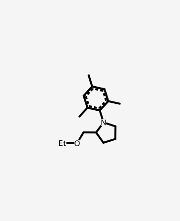 CCOCC1CCCN1c1c(C)cc(C)cc1C